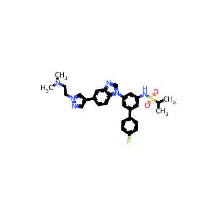 CC(C)S(=O)(=O)Nc1cc(-c2ccc(F)cc2)cc(-n2cnc3cc(-c4cnn(CCN(C)C)c4)ccc32)c1